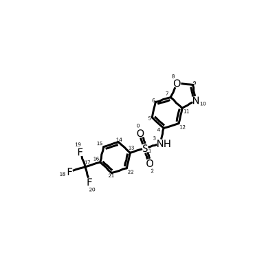 O=S(=O)(Nc1ccc2ocnc2c1)c1ccc(C(F)(F)F)cc1